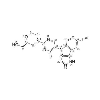 Cc1nc(N2CCO[C@H](CO)C2)ncc1-n1c2ccc(F)cc2c2[nH]ncc21